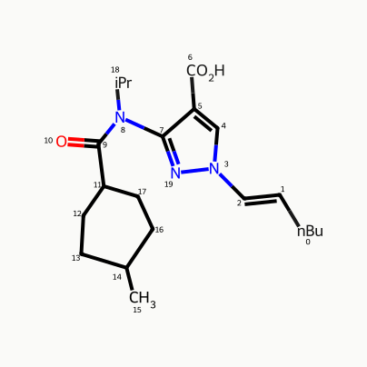 CCCC/C=C/n1cc(C(=O)O)c(N(C(=O)C2CCC(C)CC2)C(C)C)n1